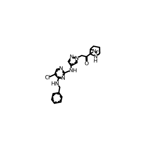 O=C(Cn1cc(Nc2ncc(Cl)c(NCc3ccccc3)n2)cn1)N1CC2CCC1CN2